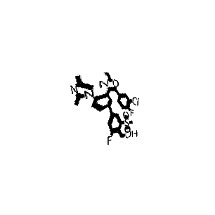 Cc1cn(-c2ccc(-c3cc(F)c(CO)c(S(C)(=O)=O)c3)cc2-c2nc(C)oc2-c2ccc(F)c(Cl)c2)c(C)n1